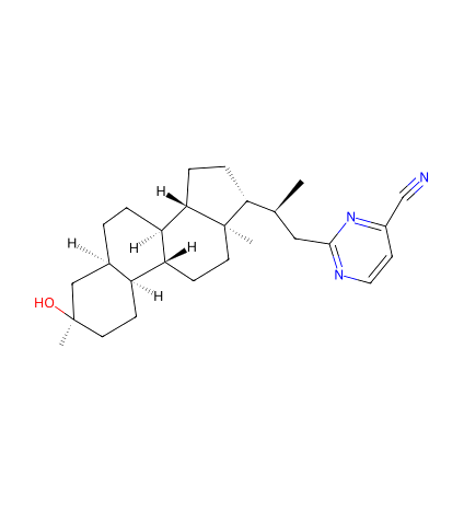 C[C@@H](Cc1nccc(C#N)n1)[C@H]1CC[C@H]2[C@@H]3CC[C@@H]4C[C@](C)(O)CC[C@@H]4[C@H]3CC[C@]12C